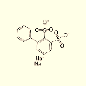 O=S(=O)([O-])c1cccc(-c2ccccc2)c1S(=O)(=O)[O-].[Na+].[Na+]